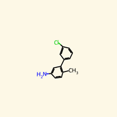 Cc1ccc(N)cc1-c1cccc(Cl)c1